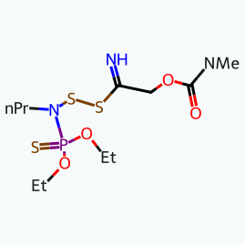 CCCN(SSC(=N)COC(=O)NC)P(=S)(OCC)OCC